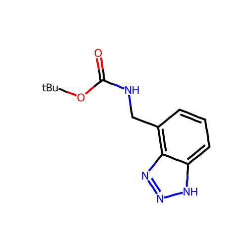 CC(C)(C)OC(=O)NCc1cccc2[nH]nnc12